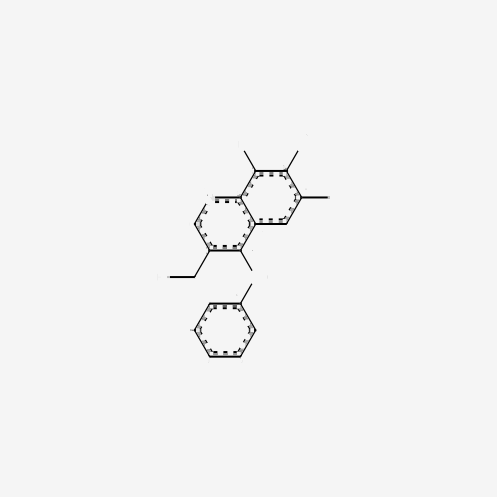 OCc1cnc2c(F)c(F)c(F)cc2c1Sc1ccccc1